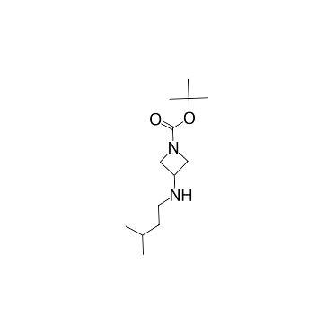 CC(C)CCNC1CN(C(=O)OC(C)(C)C)C1